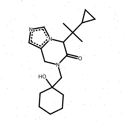 CC(C)(C1CC1)C1C(=O)N(CC2(O)CCCCC2)Cc2cncn21